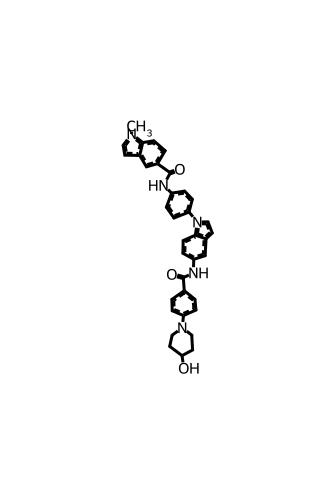 Cn1ccc2cc(C(=O)Nc3ccc(-n4ccc5cc(NC(=O)c6ccc(N7CCC(O)CC7)cc6)ccc54)cc3)ccc21